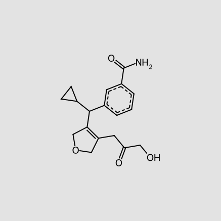 NC(=O)c1cccc(C(C2=C(CC(=O)CO)COC2)C2CC2)c1